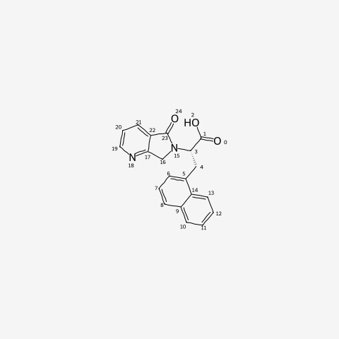 O=C(O)[C@H](Cc1cccc2ccccc12)N1Cc2ncccc2C1=O